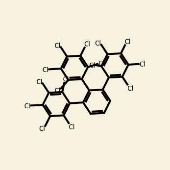 Clc1c(Cl)c(Cl)c(-c2cccc(-c3c(Cl)c(Cl)c(Cl)c(Cl)c3Cl)c2-c2c(Cl)c(Cl)c(Cl)c(Cl)c2Cl)c(Cl)c1Cl